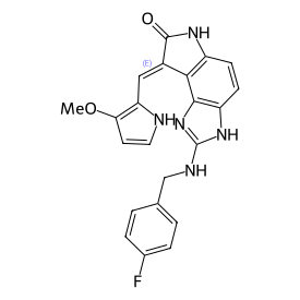 COc1cc[nH]c1/C=C1/C(=O)Nc2ccc3[nH]c(NCc4ccc(F)cc4)nc3c21